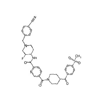 CS(=O)(=O)c1ccc(C(=O)C2CCN(C(=O)c3ccc(C(=O)NC4CCN(Cc5ccc(C#N)cc5)CC4F)nc3)CC2)cc1